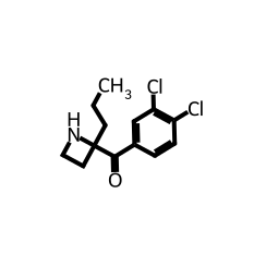 CCCC1(C(=O)c2ccc(Cl)c(Cl)c2)CCN1